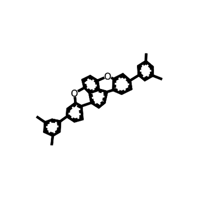 Cc1cc(C)cc(-c2ccc3c(c2)Oc2ccc4c5c(ccc-3c25)-c2ccc(-c3cc(C)cc(C)c3)cc2O4)c1